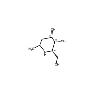 CC1C[C@@H](O)[C@H](O)[C@@H](CO)N1